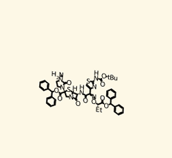 CC[C@H](O/N=C(\C(=O)N[C@@H]1C(=O)N2C[C@@](C(=O)OC(c3ccccc3)c3ccccc3)(N3CCN(N)C3=O)S[C@H]12)c1csc(NC(=O)OC(C)(C)C)n1)C(=O)OC(c1ccccc1)c1ccccc1